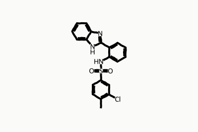 Cc1ccc(S(=O)(=O)Nc2ccccc2-c2nc3ccccc3[nH]2)cc1Cl